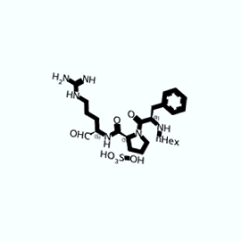 CCCCCCN[C@H](Cc1ccccc1)C(=O)N1CCC[C@H]1C(=O)N[C@H](C=O)CCCNC(=N)N.O=S(=O)(O)O